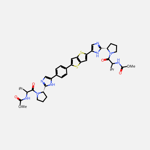 COC(=O)NC(C(=O)N1CCC[C@H]1c1ncc(-c2ccc(-c3cc4sc(-c5cnc([C@@H]6CCCN6C(=O)C(NC(=O)OC)C(C)C)[nH]5)cc4s3)cc2)[nH]1)C(C)C